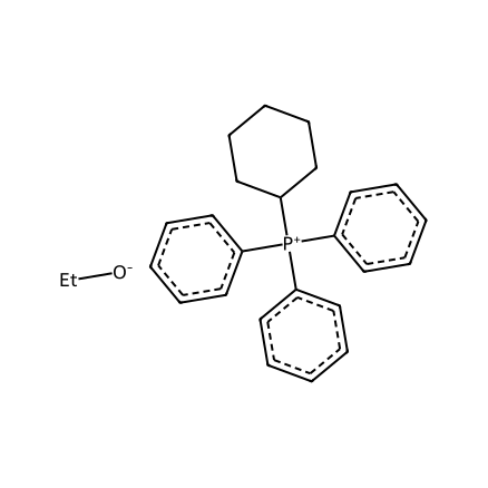 CC[O-].c1ccc([P+](c2ccccc2)(c2ccccc2)C2CCCCC2)cc1